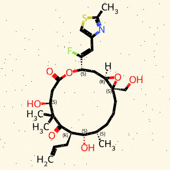 C=CC[C@H]1C(=O)C(C)(C)[C@@H](O)CC(=O)O[C@H](C(F)=Cc2csc(C)n2)C[C@H]2O[C@]2(CO)CCC[C@H](C)[C@@H]1O